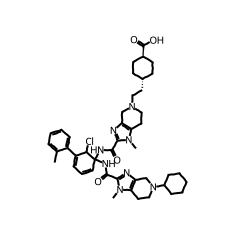 Cc1ccccc1C1=CC=CC(NC(=O)c2nc3c(n2C)CCN(CC[C@H]2CC[C@H](C(=O)O)CC2)C3)(NC(=O)c2nc3c(n2C)CCN(C2CCCCC2)C3)C1Cl